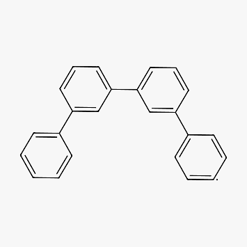 [c]1ccc(-c2cccc(-c3cccc(-c4ccccc4)c3)c2)cc1